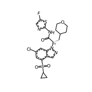 O=C(Nc1ncc(F)s1)[C@H](CC1CCOCC1)n1ncc2c(S(=O)(=O)C3CC3)cc(Cl)cc21